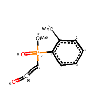 COc1ccccc1P(=O)(C=C=O)OC